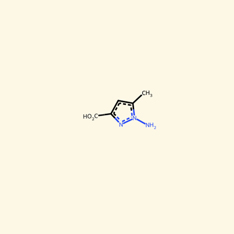 Cc1cc(C(=O)O)nn1N